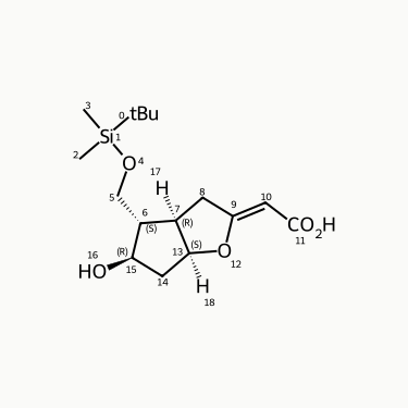 CC(C)(C)[Si](C)(C)OC[C@@H]1[C@H]2CC(=CC(=O)O)O[C@H]2C[C@H]1O